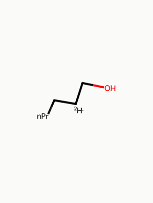 CCCCCCO.[2H]